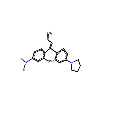 C=CC=C(c1ccc(N2CCCC2)cc1)c1ccc(N(CC)CC)cc1OC